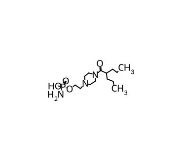 CCCC(CCC)C(=O)N1CCN(CCOP(N)(=O)O)CC1